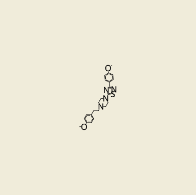 COc1ccc(CCN2CCN(c3nc(-c4ccc(OC)cc4)ns3)CC2)cc1